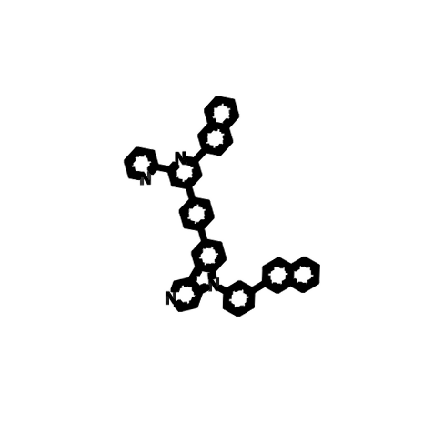 c1ccc(-c2cc(-c3ccc(-c4ccc5c(c4)c4cnccc4n5-c4cccc(-c5ccc6ccccc6c5)c4)cc3)cc(-c3ccc4ccccc4c3)n2)nc1